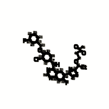 CCC(OCCS(C)(=O)=O)c1nc(-c2cc3c(Nc4ccc(OCc5cccc(F)c5)c(Cl)c4)ncnc3cc2F)cs1